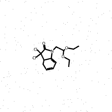 CCOC(CN1C(=O)C(Cl)(Cl)C2CC=CC=C21)OCC